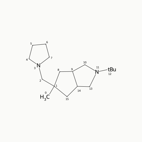 CC1(CN2CCCC2)CC2CN(C(C)(C)C)CC2C1